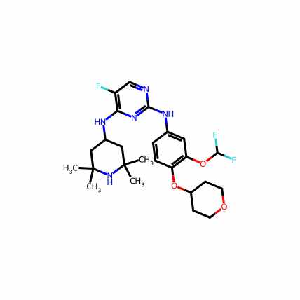 CC1(C)CC(Nc2nc(Nc3ccc(OC4CCOCC4)c(OC(F)F)c3)ncc2F)CC(C)(C)N1